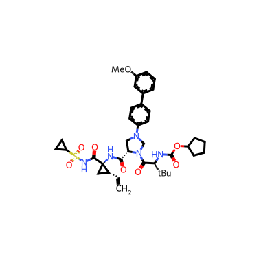 C=C[C@@H]1C[C@]1(NC(=O)[C@@H]1CN(c2ccc(-c3cccc(OC)c3)cc2)CN1C(=O)[C@@H](NC(=O)OC1CCCC1)C(C)(C)C)C(=O)NS(=O)(=O)C1CC1